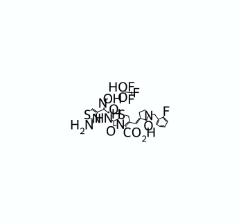 Nc1nc(/C(=N/O)C(=O)N[C@@H]2C(=O)N3C(C(=O)O)=C(/C=C4\CCN(Cc5ccccc5F)C4=O)CS[C@H]23)cs1.O=C(O)C(F)(F)F